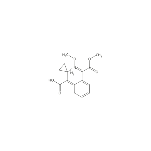 CON=C(C(=O)OC)C1=CC=CCC1=C(C(=O)O)C1(C)CC1